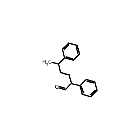 CC(CCC(C=O)c1ccccc1)c1ccccc1